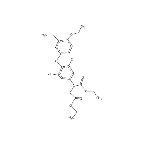 CCOC(=O)CN(C(=O)OCC)c1cc(Cl)c(Oc2ccc(OCC)c(CC)c2)c(Cl)c1